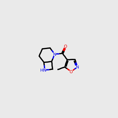 Cc1oncc1C(=O)N1CCCC2NCC21